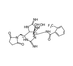 N=C1NC2[C@H](CN3C(=O)CCC3=O)NC(=N)N3CC(NC(=O)c4ccccc4C(F)(F)F)C(O)(O)[C@]23N1